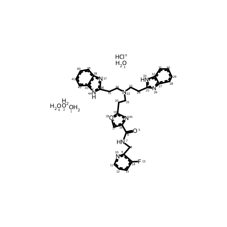 Cl.O.O.O.O.O=C(NCc1ncccc1F)c1coc(CCN(CCc2nc3ccccc3[nH]2)CCc2nc3ccccc3[nH]2)n1